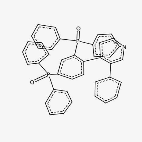 O=P(c1ccccc1)(c1ccccc1)c1ccc(-c2ccncc2-c2ccccc2)c(P(=O)(c2ccccc2)c2ccccc2)c1